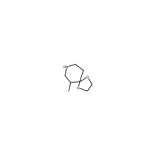 FC1CNCCC12OCCO2